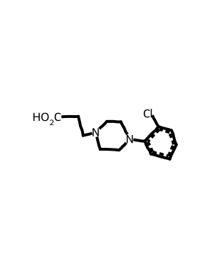 O=C(O)CCN1CCN(c2ccccc2Cl)CC1